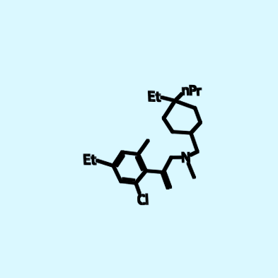 C=C(CN(C)CC1CCC(CC)(CCC)CC1)c1c(C)cc(CC)cc1Cl